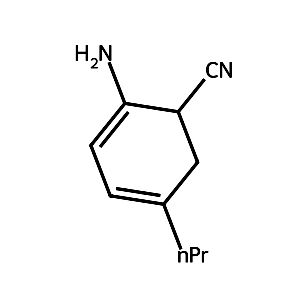 CCCC1=CC=C(N)C(C#N)C1